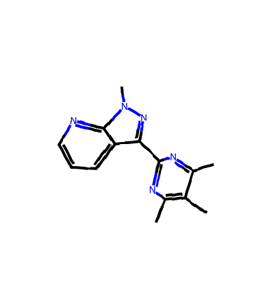 Cc1nc(-c2nn(C)c3ncccc23)nc(C)c1C